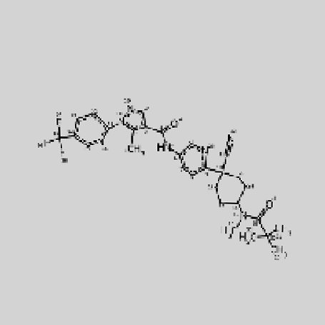 Cc1c(C(=O)Nc2ccc(C3(C#N)CCC(N(C)C(=O)C(C)(C)C)CC3)nc2)cnn1-c1ccc(C(F)(F)F)cn1